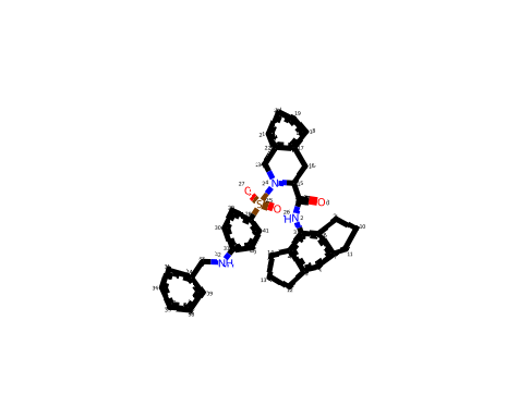 O=C(Nc1c2c(cc3c1CCC3)CCC2)C1Cc2ccccc2CN1S(=O)(=O)c1ccc(NCc2ccccc2)cc1